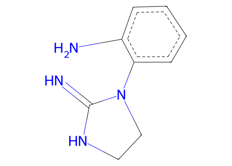 N=C1NCCN1c1ccccc1N